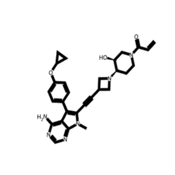 C=CC(=O)N1CC[C@@H](N2CC(C#Cc3c(-c4ccc(OC5CC5)cc4)c4c(N)ncnc4n3C)C2)[C@@H](O)C1